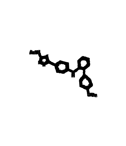 COc1ccc(-c2ccccc2Nc2ccc(-c3nnc(NC(C)=O)s3)cc2)cc1